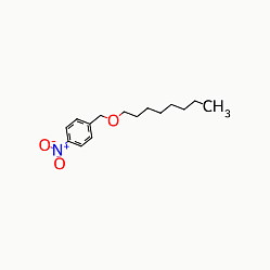 CCCCCCCCOCc1ccc([N+](=O)[O-])cc1